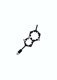 Cc1cnc2cc(C#N)nn2c1